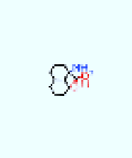 NC1(C(=O)O)CCCC2CCCCC21